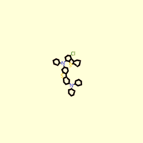 Clc1ccc(N(c2ccccc2)c2ccc3c(c2)sc2ccc(N(c4ccccc4)c4ccccc4)cc23)c2sc3ccccc3c12